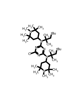 CN1C(C)(C)CC(N(c2nc(Cl)nc(N(C3CC(C)(C)N(C)C(C)(C)C3)C(C)(C)CC(C)(C)C)n2)C(C)(C)CC(C)(C)C)CC1(C)C